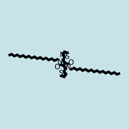 CCCCCCCCCCCCCCCCCCN1C(=O)C2=C(c3nccs3)N(CCCCCCCCCCCCCCCCCC)C(=O)C2=C1c1cccs1